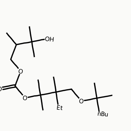 CCCCC(C)(C)OCC(C)(CC)C(C)(C)OC(=O)OCC(C)C(C)(C)O